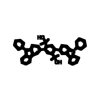 CC(C)(O)c1cc(-c2ccc3c(c2)c2ccccc2n3-c2ccccc2)c(C(C)(C)O)cc1-c1ccc2c(c1)c1ccccc1n2-c1ccccc1